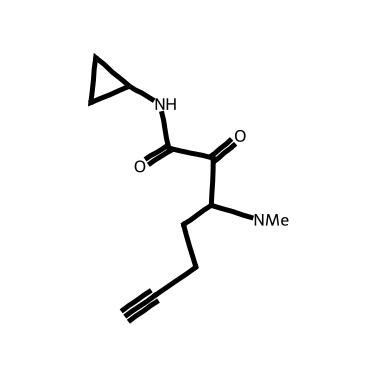 C#CCCC(NC)C(=O)C(=O)NC1CC1